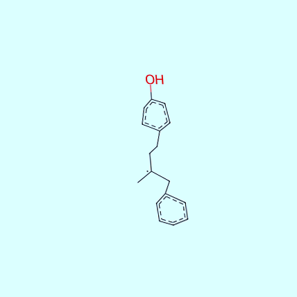 C[C](CCc1ccc(O)cc1)Cc1ccccc1